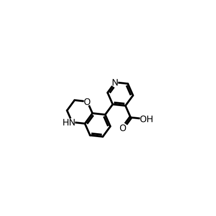 O=C(O)c1ccncc1-c1cccc2c1OCCN2